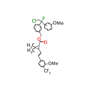 COc1cccc(C(F)(CCl)c2cccc(COC(=O)C3C(C=Cc4ccc(C(F)(F)F)c(OC)c4)C3(C)C)c2)c1